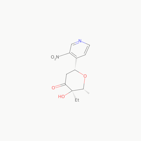 CC[C@]1(O)C(=O)C[C@H](c2ccncc2[N+](=O)[O-])O[C@@H]1C